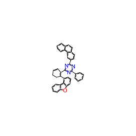 C1=CC(c2nc(-c3ccccc3)nc(-c3ccc4ccc5ccccc5c4c3)n2)=C(c2cccc3oc4ccccc4c23)CC1